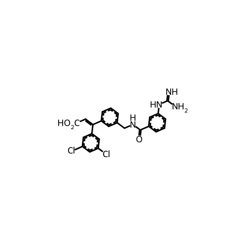 N=C(N)Nc1cccc(C(=O)NCc2cccc(C(=CC(=O)O)c3cc(Cl)cc(Cl)c3)c2)c1